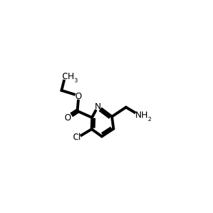 CCOC(=O)c1nc(CN)ccc1Cl